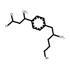 CC(C)CCCC(C)Cc1ccc(C(C)CC(Cl)Cl)cc1